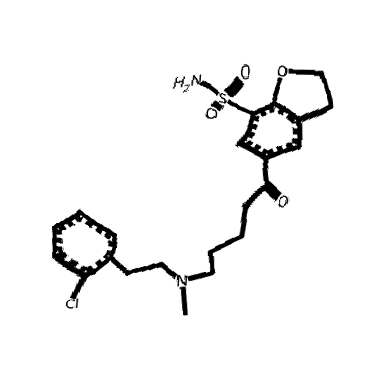 CN(CCCCC(=O)c1cc2c(c(S(N)(=O)=O)c1)OCC2)CCc1ccccc1Cl